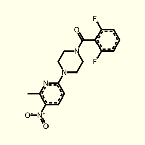 Cc1nc(N2CCN(C(=O)c3c(F)cccc3F)CC2)ccc1[N+](=O)[O-]